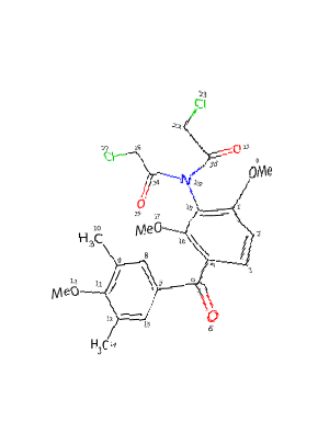 COc1ccc(C(=O)c2cc(C)c(OC)c(C)c2)c(OC)c1N(C(=O)CCl)C(=O)CCl